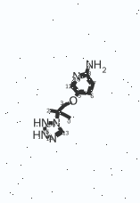 CC(C)(COc1ccc(N)nc1)N1C=NNN1